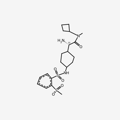 CN(C(=O)[C@@H](N)C1CCC(NS(=O)(=O)c2ccccc2S(C)(=O)=O)CC1)C1CCC1